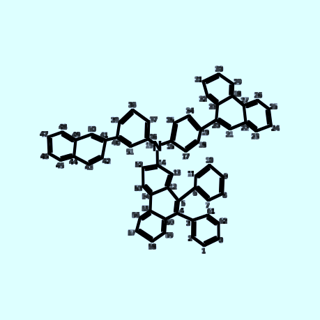 c1ccc(-c2c(-c3ccccc3)c3cc(N(c4ccc(-c5cc6ccccc6c6ccccc56)cc4)c4cccc(-c5ccc6ccccc6c5)c4)ccc3c3ccccc23)cc1